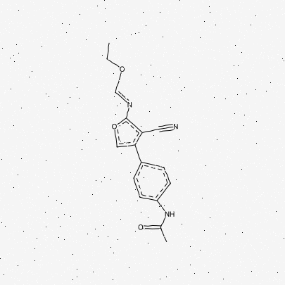 CCO/C=N/c1occ(-c2ccc(NC(C)=O)cc2)c1C#N